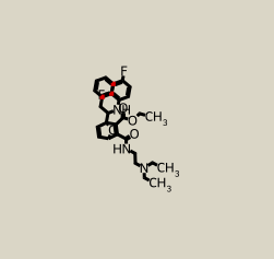 CCOC(=O)C1=C(C(=O)NCCN(CC)CC)C2C=CC1(C(Cc1ccccc1)Nc1ccc(F)cc1F)O2